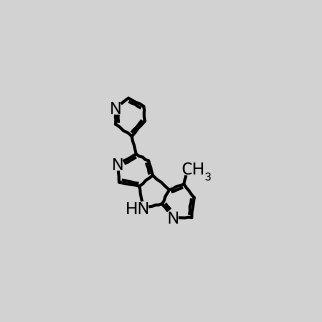 Cc1ccnc2[nH]c3cnc(-c4cccnc4)cc3c12